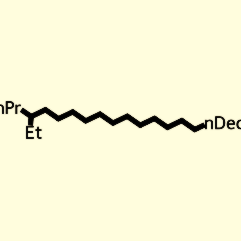 [CH2]CCC(CC)CCCCCCCCCCCCCCCCCCCCCC